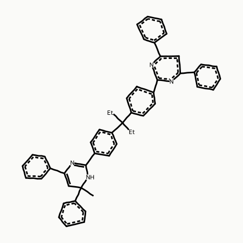 CCC(CC)(c1ccc(C2=NC(c3ccccc3)=CC(C)(c3ccccc3)N2)cc1)c1ccc(-c2nc(-c3ccccc3)cc(-c3ccccc3)n2)cc1